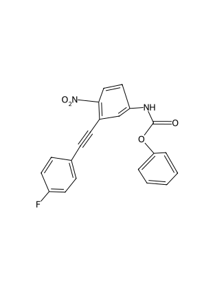 O=C(Nc1ccc([N+](=O)[O-])c(C#Cc2ccc(F)cc2)c1)Oc1ccccc1